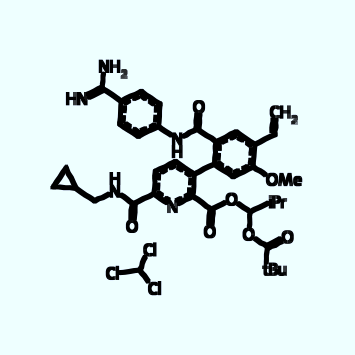 C=Cc1cc(C(=O)Nc2ccc(C(=N)N)cc2)c(-c2ccc(C(=O)NCC3CC3)nc2C(=O)OC(OC(=O)C(C)(C)C)C(C)C)cc1OC.ClC(Cl)Cl